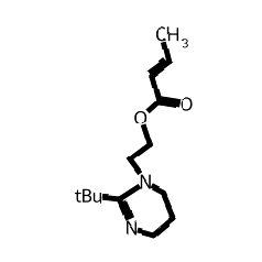 C/C=C/C(=O)OCCN1CCCN=C1C(C)(C)C